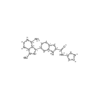 CC(C)(C)n1nc(-c2ccc3cc(C(=O)Nc4cnoc4)[nH]c3c2)c2c(N)ncnc21